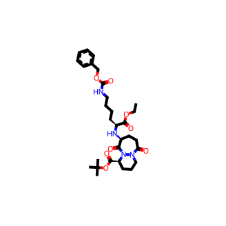 CCOC(=O)[C@H](CCCCNC(=O)OCc1ccccc1)N[C@H]1CCC(=O)N2CCC[C@@H](C(=O)OC(C)(C)C)N2C1=O